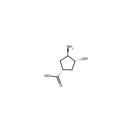 N[C@@H]1C[C@@H](C(=O)O)C[C@H]1O